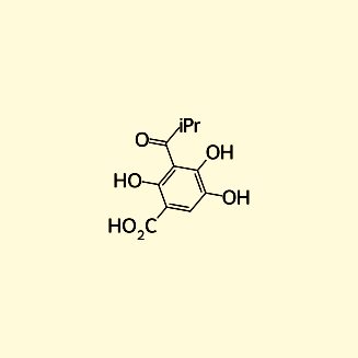 CC(C)C(=O)c1c(O)c(O)cc(C(=O)O)c1O